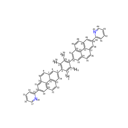 [2H]c1c([2H])c(-c2cc3ccc4cc(-c5ccccn5)cc5ccc(c2)c3c45)c([2H])c([2H])c1-c1cc2ccc3cc(-c4ccccn4)cc4ccc(c1)c2c34